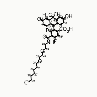 CC1(C)C2=CC(=O)C=CC2=C(c2c(F)c(C(=O)NCCOCCOCCCCCCCl)c(F)c(F)c2C(=O)O)c2ccc(O)cc21